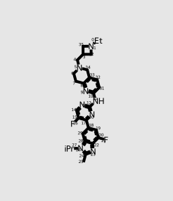 CCN1CC(CN2CCc3nc(Nc4ncc(F)c(-c5cc(F)c6nc(C)n(C(C)C)c6c5)n4)ccc3C2)C1